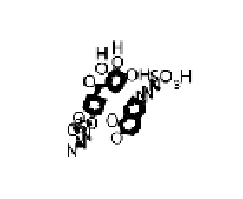 O=C1C=Cc2ccccc2C1=O.[N-]=[N+]=NS(=O)(=O)O.[N-]=[N+]=NS(=O)(=O)Oc1ccc(C(=O)c2ccc(O)c(O)c2O)cc1